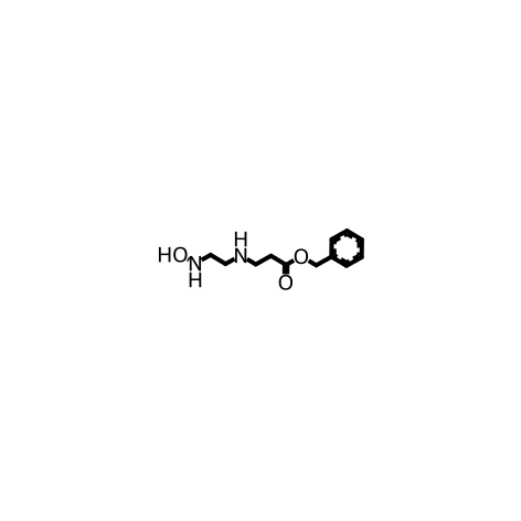 O=C(CCNCCNO)OCc1ccccc1